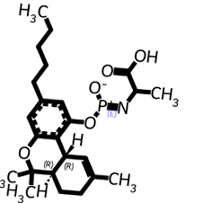 CCCCCc1cc(O/[P+]([O-])=N/C(C)C(=O)O)c2c(c1)OC(C)(C)[C@@H]1CCC(C)=C[C@@H]21